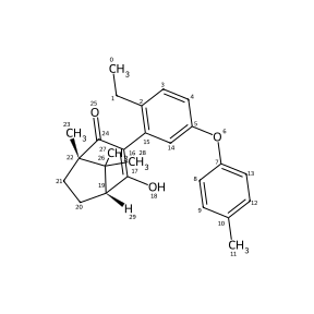 CCc1ccc(Oc2ccc(C)cc2)cc1C1=C(O)[C@@H]2CC[C@](C)(C1=O)C2(C)C